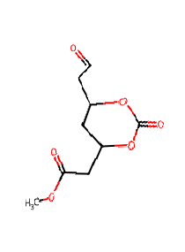 COC(=O)CC1CC(CC=O)OC(=O)O1